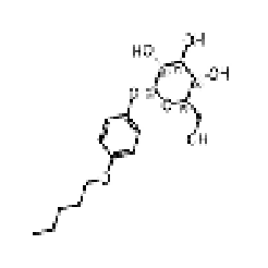 CCCCCOc1ccc(O[C@H]2O[C@H](CO)[C@@H](O)[C@H](O)[C@H]2O)cc1